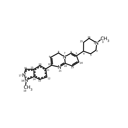 CN1CCC(C2=CN3CC=C(c4ccc5c(cnn5C)c4)N=C3C=C2)CC1